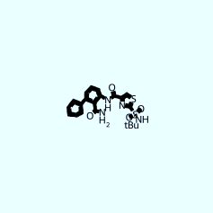 CC(C)(C)NS(=O)(=O)c1nc(C(=O)Nc2cccc(-c3ccccc3)c2C(N)=O)cs1